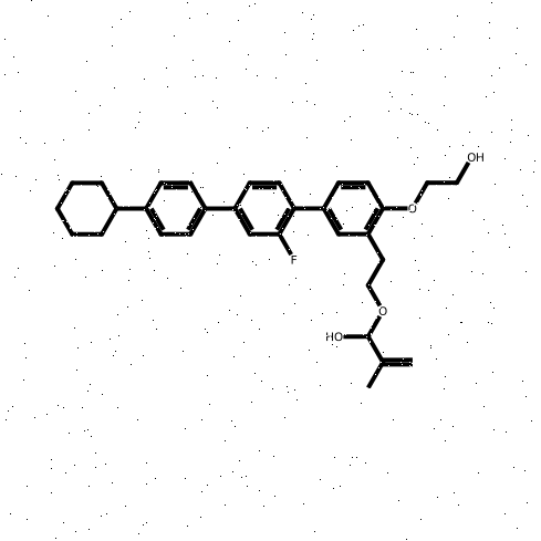 C=C(C)C(O)OCCc1cc(-c2ccc(-c3ccc(C4CCCCC4)cc3)cc2F)ccc1OCCO